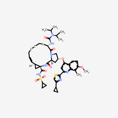 COc1ccc2c(O[C@@H]3C[C@H]4C(=O)N[C@]5(C(=O)NS(=O)(=O)C6CC6)C[C@H]5C=CCCCCC[C@H](NC(=O)N(C(C)C)C(C)C)C(=O)N4C3)cc(-c3nc(C4CC4)cs3)nc2c1C